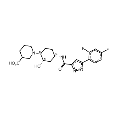 O=C(N[C@H]1CC[C@@H](N2CCCC(C(=O)O)C2)[C@@H](O)C1)c1cc(-c2ccc(F)cc2F)on1